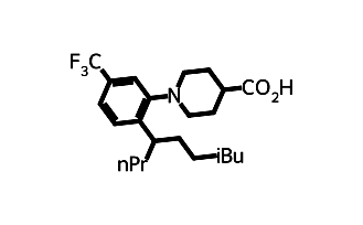 CCCC(CCC(C)CC)c1ccc(C(F)(F)F)cc1N1CCC(C(=O)O)CC1